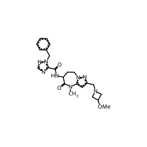 COC1CN(Cc2cc3n(n2)CCC(NC(=O)c2ncnn2Cc2ccccc2)C(=O)N3C)C1